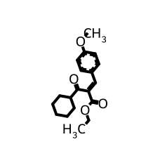 CCOC(=O)/C(=C/c1ccc(OC)cc1)C(=O)C1CCCCC1